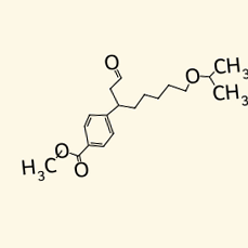 COC(=O)c1ccc(C(CC=O)CCCCCOC(C)C)cc1